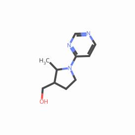 CC1C(CO)CCN1c1ccncn1